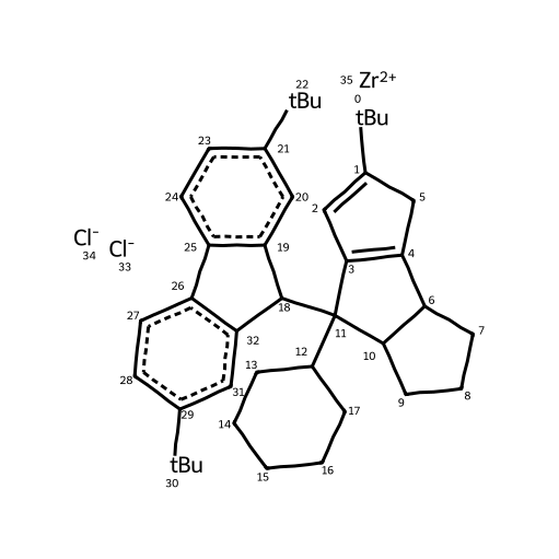 CC(C)(C)C1=CC2=C(C1)C1CCCC1C2(C1CCCCC1)C1c2cc(C(C)(C)C)ccc2-c2ccc(C(C)(C)C)cc21.[Cl-].[Cl-].[Zr+2]